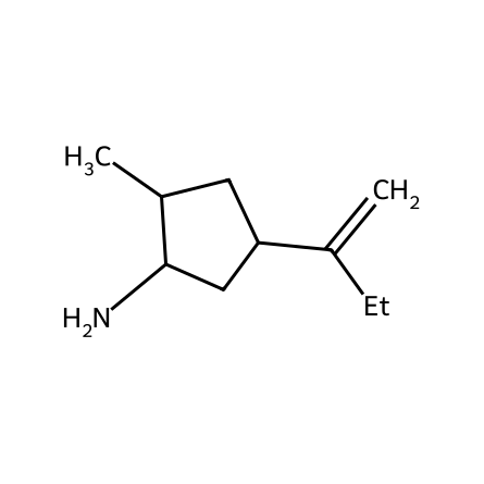 C=C(CC)C1CC(C)C(N)C1